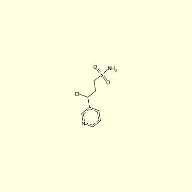 NS(=O)(=O)CCC(Cl)c1cccnc1